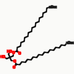 CCCCCCCCCCCCCCCCCCCCCCCCCCCC(=O)OCC(CO)(CO)COC(=O)CCCCCCCCCCCCCCCCCCCCCCCCCCC